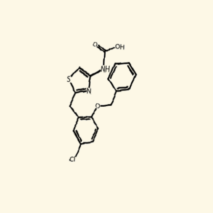 O=C(O)Nc1csc(Cc2cc(Cl)ccc2OCc2ccccc2)n1